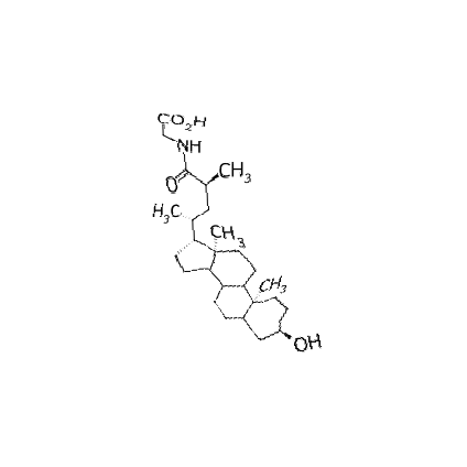 C[C@H](C[C@H](C)C(=O)NCC(=O)O)[C@H]1CCC2C3CCC4C[C@H](O)CC[C@]4(C)C3CC[C@@]21C